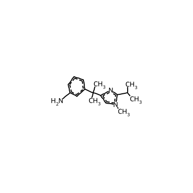 CC(C)c1nc(C(C)(C)c2cccc(N)c2)cn1C